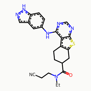 CCN(CCC#N)C(=O)C1CCc2c(sc3ncnc(Nc4ccc5[nH]ncc5c4)c23)C1